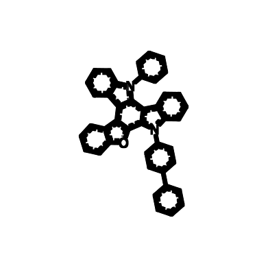 c1ccc(-c2ccc(-n3c4ccccc4c4c3c3oc5ccccc5c3c3c5ccccc5n(-c5ccccc5)c34)cc2)cc1